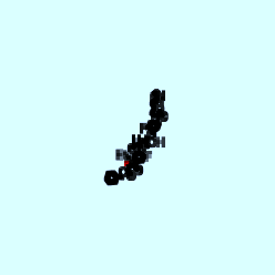 CCn1cc(C(=O)OCc2ccccc2)c(=O)c2cc(F)c3c(c21)OC[C@@H]1C[C@@](O)(COc2ccc(N4CC(Cn5ccnn5)OC4=O)cc2F)CN31